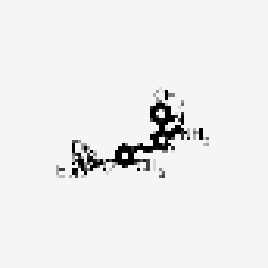 CCOP(=O)(CCOc1ccc(CCc2cnc3c(N)nc4cc(C)ccc4c3c2)c(C)c1)OCC